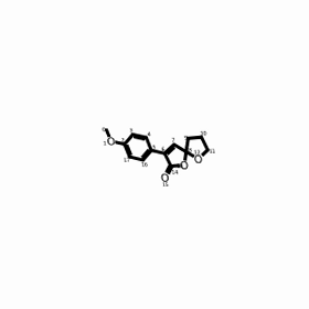 COc1ccc(C2=CC3(CCCO3)OC2=O)cc1